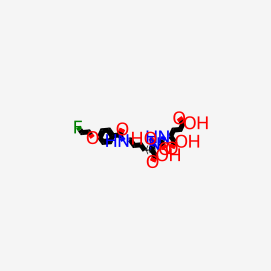 O=C(O)CCC(NC(=O)N(O)[C@@H](CCCCNC(=O)c1ccc(OCCF)cc1)C(=O)O)C(=O)O